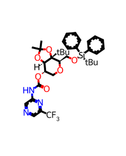 CC1(C)O[C@@H]2[C@@H](OC(=O)Nc3cncc(C(F)(F)F)n3)CO[C@H](CO[Si](c3ccccc3)(c3ccccc3)C(C)(C)C)[C@@]2(C(C)(C)C)O1